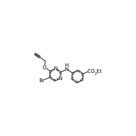 C#CCOc1nc(Nc2cccc(C(=O)OCC)c2)ncc1Br